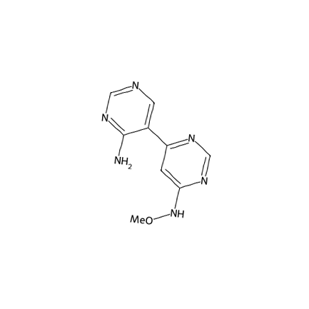 CONc1cc(-c2cncnc2N)ncn1